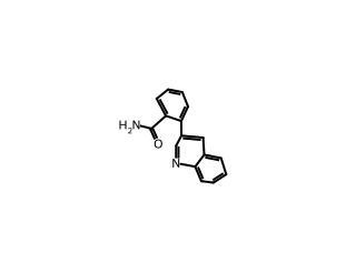 NC(=O)c1ccccc1-c1cnc2ccccc2c1